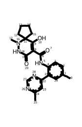 Cc1ccc(NC(=O)C2=C(O)C3(CCCC3)N(C)NC2=O)c(-c2cc(C)ncn2)c1